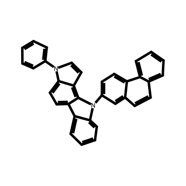 c1ccc(-n2ccc3c2ccc2c4ccccc4n(-c4ccc5c(ccc6ccccc65)c4)c23)cc1